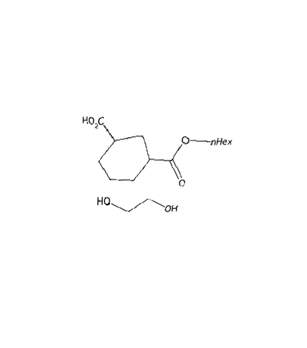 CCCCCCOC(=O)C1CCCC(C(=O)O)C1.OCCO